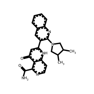 CC1CN(c2nc3ccccc3cc2-c2cc(=O)c3c(C(N)=O)nccc3[nH]2)CC1C